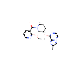 Cc1cn2ccnc(O[C@@H]3CC[C@@H](C)N(C(=O)c4cccnc4OCC(F)(F)F)C3)c2n1